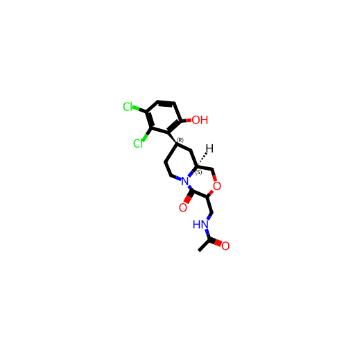 CC(=O)NCC1OC[C@@H]2C[C@H](c3c(O)ccc(Cl)c3Cl)CCN2C1=O